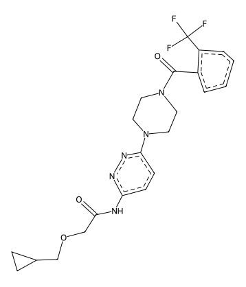 O=C(COCC1CC1)Nc1ccc(N2CCN(C(=O)c3ccccc3C(F)(F)F)CC2)nn1